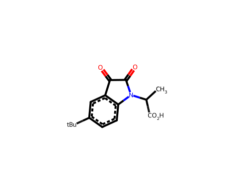 CC(C(=O)O)N1C(=O)C(=O)c2cc(C(C)(C)C)ccc21